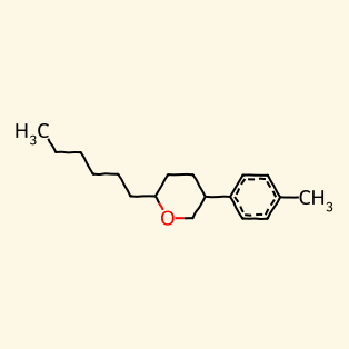 CCCCCCC1CCC(c2ccc(C)cc2)CO1